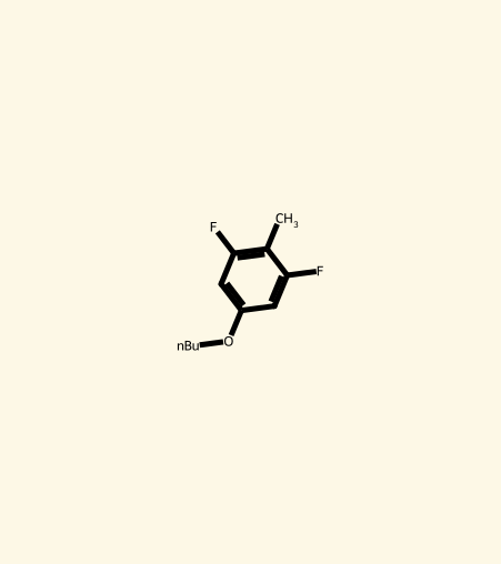 CCCCOc1cc(F)c(C)c(F)c1